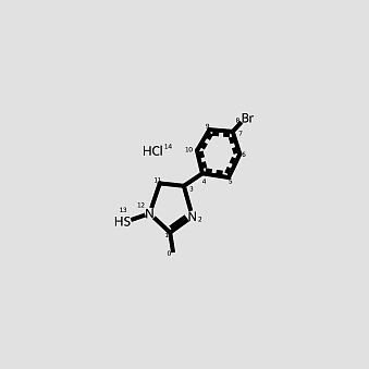 CC1=NC(c2ccc(Br)cc2)CN1S.Cl